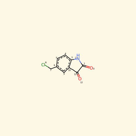 O=C1Nc2ccc(CCl)cc2C1=O